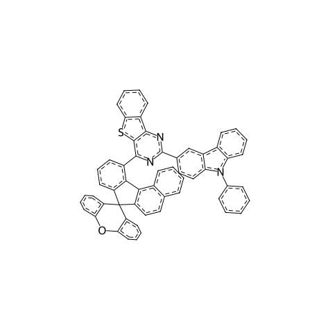 c1ccc(-n2c3ccccc3c3cc(-c4nc(-c5cccc6c5-c5c(ccc7ccccc57)C65c6ccccc6Oc6ccccc65)c5sc6ccccc6c5n4)ccc32)cc1